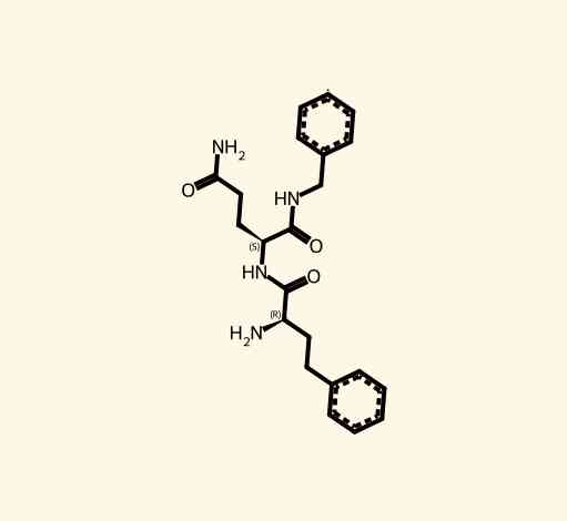 NC(=O)CC[C@H](NC(=O)[C@H](N)CCc1ccccc1)C(=O)NCc1cc[c]cc1